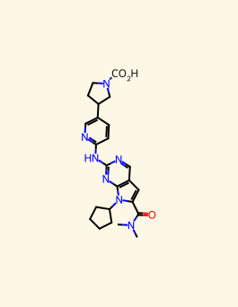 CN(C)C(=O)c1cc2cnc(Nc3ccc(C4CCN(C(=O)O)C4)cn3)nc2n1C1CCCC1